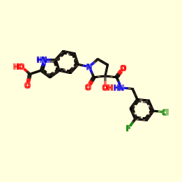 O=C(O)c1cc2cc(N3CCC(O)(C(=O)NCc4cc(F)cc(Cl)c4)C3=O)ccc2[nH]1